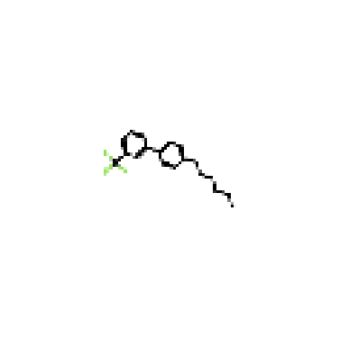 [CH2]CCCCCc1ccc(-c2cccc(C(F)(F)F)c2)cc1